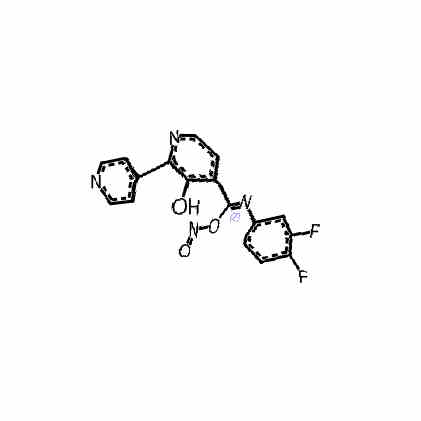 O=NO/C(=N\c1ccc(F)c(F)c1)c1ccnc(-c2ccncc2)c1O